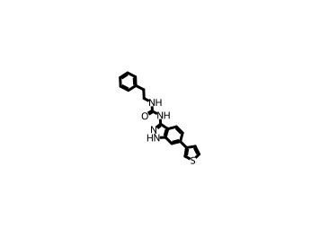 O=C(NCCc1ccccc1)Nc1n[nH]c2cc(-c3ccsc3)ccc12